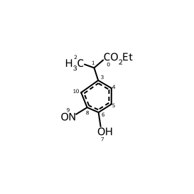 CCOC(=O)C(C)c1ccc(O)c(N=O)c1